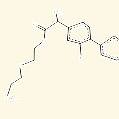 COCCOCCOC(=O)C(C)c1ccc(-c2ccccc2)c(F)c1